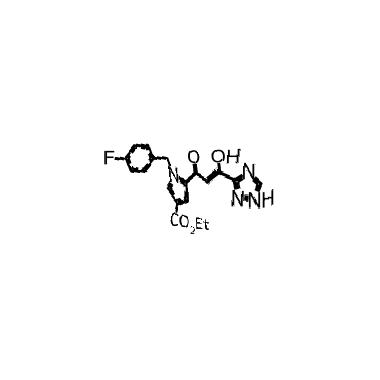 CCOC(=O)c1cc(C(=O)C=C(O)c2nc[nH]n2)n(Cc2ccc(F)cc2)c1